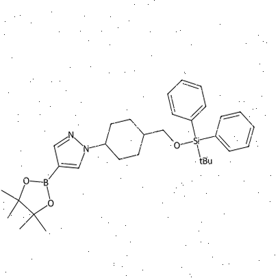 CC1(C)OB(c2cnn(C3CCC(CO[Si](c4ccccc4)(c4ccccc4)C(C)(C)C)CC3)c2)OC1(C)C